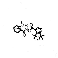 COC12CCC(CC1)CC2C(=O)NOC(=O)c1csc2c1C(C)(C)OC2(C)C